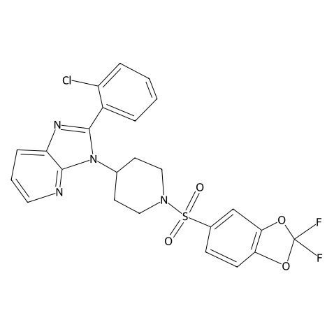 O=S(=O)(c1ccc2c(c1)OC(F)(F)O2)N1CCC(n2c(-c3ccccc3Cl)nc3cccnc32)CC1